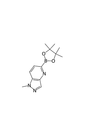 Cn1ncc2nc(B3OC(C)(C)C(C)(C)O3)ccc21